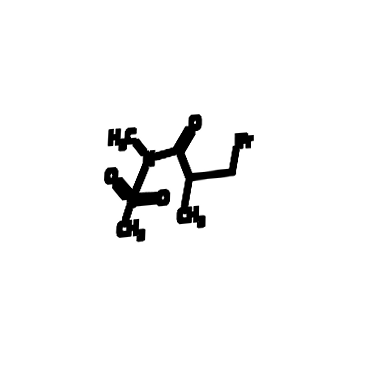 CC(C)CC(C)C(=O)N(C)S(C)(=O)=O